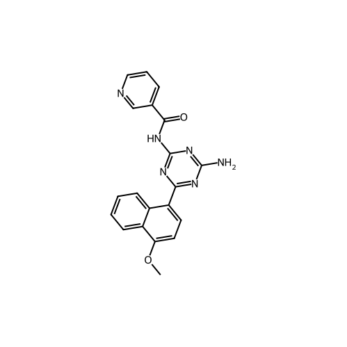 COc1ccc(-c2nc(N)nc(NC(=O)c3cccnc3)n2)c2ccccc12